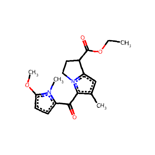 CCOC(=O)C1CCn2c1cc(C)c2C(=O)c1ccc(OC)n1C